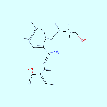 C=C(O)/C(=C/C)C(=C)/C=C(\N)C1=CC(C)=C(C)CC1CC(C)C(C)(C)CO